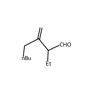 C=C(CCCCC)C(C=O)CC